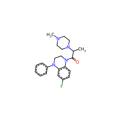 CC(C(=O)N1CCN(c2ccccc2)c2cc(F)ccc21)N1CCN(C)CC1